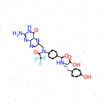 NC1=NC2N=CC(CN(C(=O)C(F)(F)F)c3ccc(C(=O)N[C@@H](Cc4ccc(O)cc4)C(=O)O)cc3)=NC2C(=O)N1